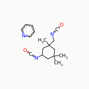 CC1(C)CC(N=C=O)CC(C)(CN=C=O)C1.c1ccncc1